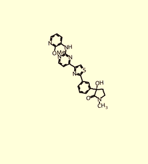 COc1ncccc1Nc1nccc(-c2csc(-c3cccc([C@]4(O)CCN(C)C4=O)c3)n2)n1